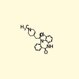 CN1CC=C(CC(=O)N2c3ccccc3C(=O)Nc3cccc(Cl)c32)CC1